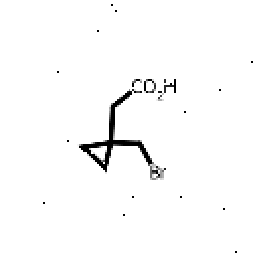 O=C(O)CC1(CBr)CC1